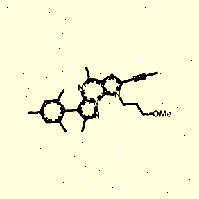 CC#Cc1cc2c(C)nc3c(-c4c(C)cc(C)cc4C)c(C)nn3c2n1CCCOC